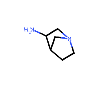 NC1CN2CCC1C2